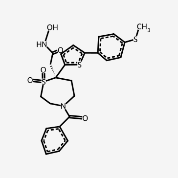 CSc1ccc(-c2ccc([C@@]3(CC(=O)NO)CCN(C(=O)c4ccccc4)CCS3(=O)=O)s2)cc1